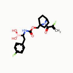 C=C(F)C(=O)N1C2CCC1(COC(=O)NC(Cc1ccc(F)cc1)B(O)O)CC2